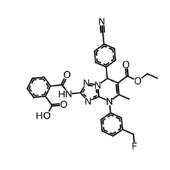 CCOC(=O)C1=C(C)N(c2cccc(CF)c2)c2nc(NC(=O)c3ccccc3C(=O)O)nn2C1c1ccc(C#N)cc1